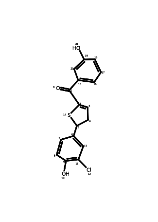 O=C(C1=CCC(c2ccc(O)c(Cl)c2)S1)c1cccc(O)c1